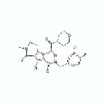 CN1CCn2c(c(O)c3c(=O)n(Cc4ccc(F)c(Cl)c4)nc(C(=O)N4CCOCC4)c32)C1=O